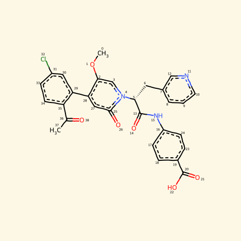 COc1cn([C@H](Cc2cccnc2)C(=O)Nc2ccc(C(=O)O)cc2)c(=O)cc1-c1cc(Cl)ccc1C(C)=O